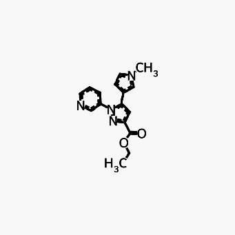 CCOC(=O)c1cc(-c2ccn(C)c2)n(-c2cccnc2)n1